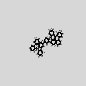 c1ccc(-c2ccccc2-n2c3ccccc3c3cc(-c4ccc5c(c4)c4ccccc4n5-c4ccccc4-c4cc5ccccc5c5ccccc45)ccc32)cc1